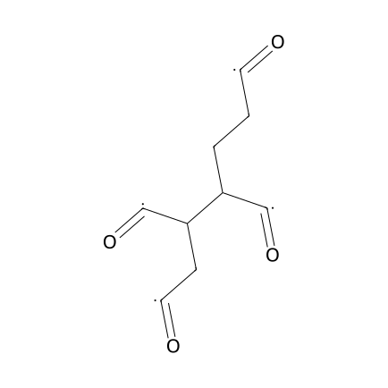 O=[C]CCC([C]=O)C([C]=O)C[C]=O